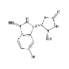 N=C1NC(=O)SC1=C1NC(=N)c2ccc(Br)cc21